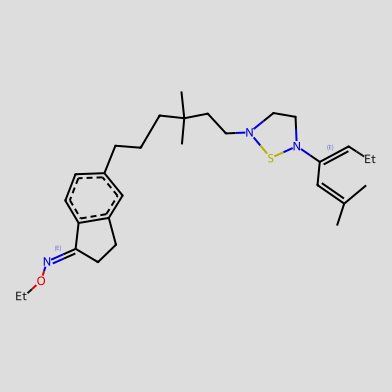 CC/C=C(\C=C(C)C)N1CCN(CCC(C)(C)CCCc2ccc3c(c2)CC/C3=N\OCC)S1